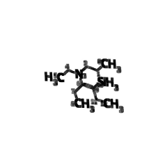 CCCN(CC)C(CC)=C([SiH3])CC